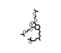 CC(CCCC1CCC(C(=O)OCCOC(C)C)C(C(=O)OCCOC(C)C)C1)CCC1OC1(C)C